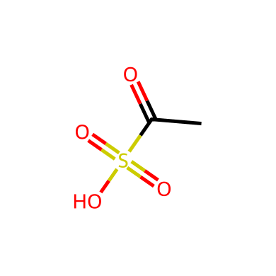 CC(=O)S(=O)(=O)O